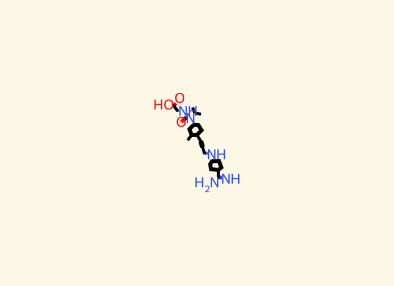 Cc1cc(N(C(=O)NCC(=O)O)C(C)C)ccc1C#CCNc1ccc(C(=N)N)cc1